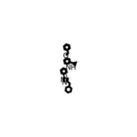 c1ccc(COc2ccc(Nc3cccc(-n4cc(CC5CCCCC5)nn4)c3)c(C3CC3)c2)cc1